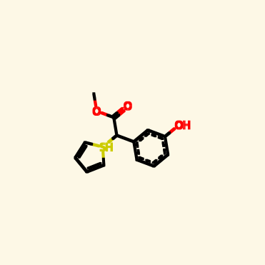 COC(=O)C(c1cccc(O)c1)[SH]1C=CC=C1